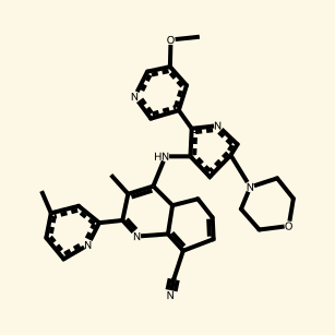 COc1cncc(-c2ncc(N3CCOCC3)cc2NC2=C(C)C(c3cc(C)ccn3)=NC3=C(C#N)C=CCC32)c1